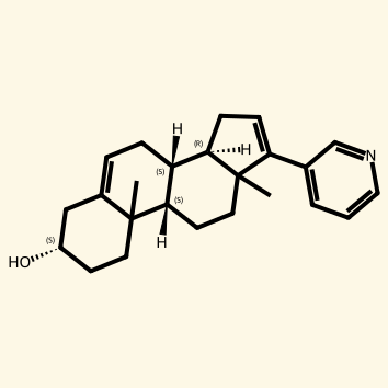 CC12CC[C@H]3[C@H](CC=C4C[C@@H](O)CCC43C)[C@H]1CC=C2c1cccnc1